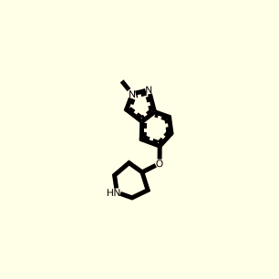 Cn1cc2cc(OC3CCNCC3)ccc2n1